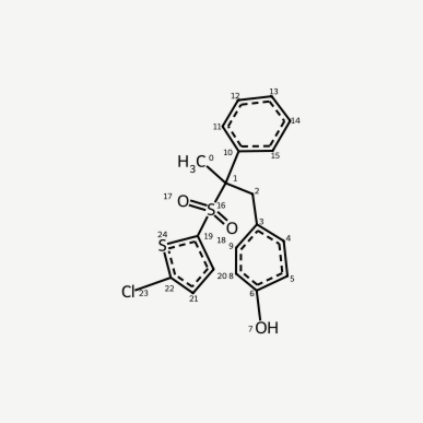 CC(Cc1ccc(O)cc1)(c1ccccc1)S(=O)(=O)c1ccc(Cl)s1